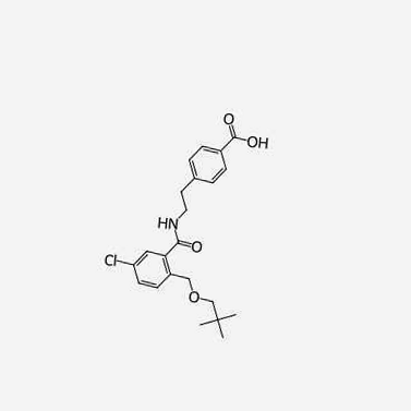 CC(C)(C)COCc1ccc(Cl)cc1C(=O)NCCc1ccc(C(=O)O)cc1